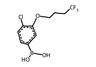 OB(O)c1ccc(Cl)c(OCCCC(F)(F)F)c1